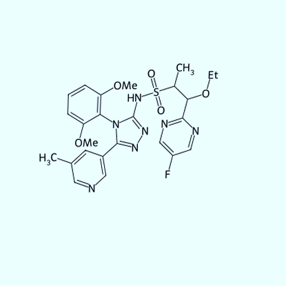 CCOC(c1ncc(F)cn1)C(C)S(=O)(=O)Nc1nnc(-c2cncc(C)c2)n1-c1c(OC)cccc1OC